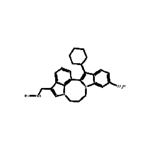 CCC(C)NCc1cn2c3c(cccc13)-c1c(C3CCCCC3)c3ccc(C(=O)O)cc3n1CCC2